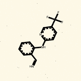 N=Cc1ccccc1Nc1ccc(C(F)(F)F)cn1